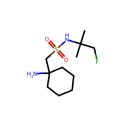 CC(C)(CF)NS(=O)(=O)CC1(N)CCCCC1